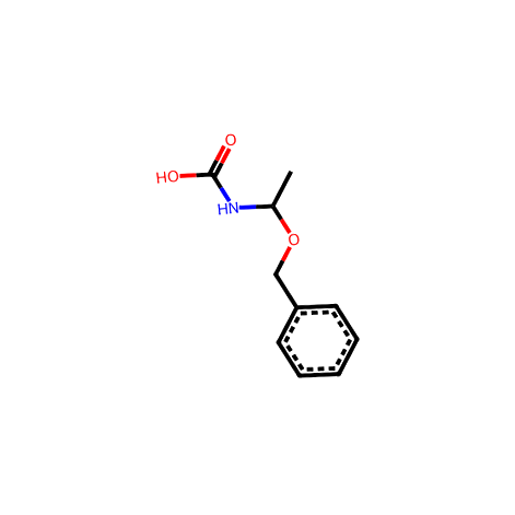 CC(NC(=O)O)OCc1ccccc1